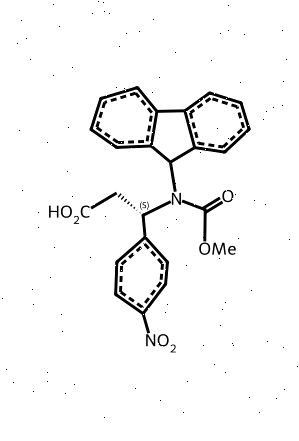 COC(=O)N(C1c2ccccc2-c2ccccc21)[C@@H](CC(=O)O)c1ccc([N+](=O)[O-])cc1